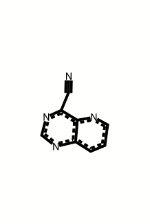 N#Cc1ncnc2cccnc12